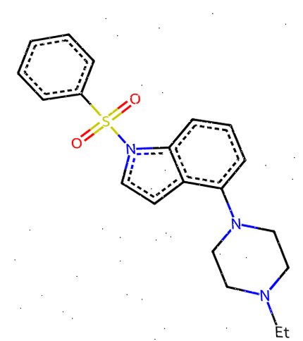 CCN1CCN(c2cccc3c2ccn3S(=O)(=O)c2ccccc2)CC1